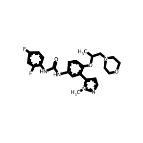 CC(CN1CCOCC1)Oc1ccc(NC(=O)Nc2ccc(F)cc2F)cc1-c1ccnn1C